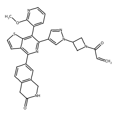 C=CC(=O)N1CC(n2cc(-c3nc(-c4ccc5c(c4)CNC(=O)C5)c4ccsc4c3-c3cccnc3OC)cn2)C1